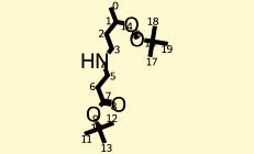 CC(CCNCCC(=O)OC(C)(C)C)OOC(C)(C)C